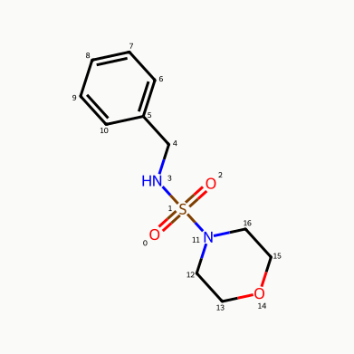 O=S(=O)(NCc1ccccc1)N1CCOCC1